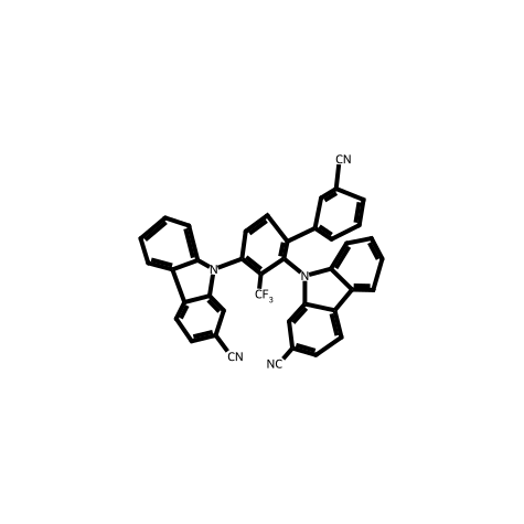 N#Cc1cccc(-c2ccc(-n3c4ccccc4c4ccc(C#N)cc43)c(C(F)(F)F)c2-n2c3ccccc3c3ccc(C#N)cc32)c1